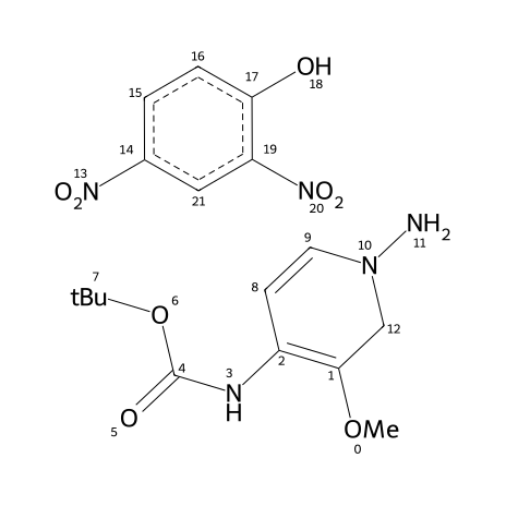 COC1=C(NC(=O)OC(C)(C)C)C=CN(N)C1.O=[N+]([O-])c1ccc(O)c([N+](=O)[O-])c1